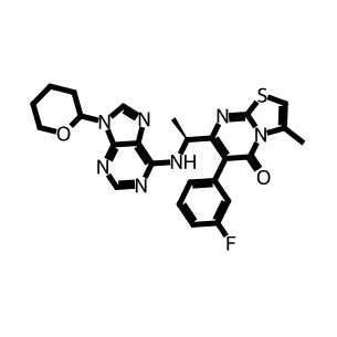 Cc1csc2nc([C@H](C)Nc3ncnc4c3ncn4C3CCCCO3)c(-c3cccc(F)c3)c(=O)n12